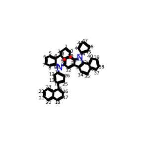 c1ccc(-c2ccccc2N(c2ccc(-c3cccc4ccccc34)cc2)c2ccc3c(c2)c2ccc4ccccc4c2n3-c2ccccc2)cc1